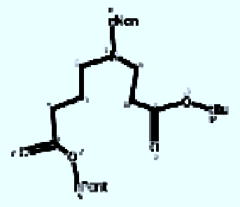 CCCCCCCCCN(CCCC(=O)OCCCCC)CCC(=O)OC(C)(C)C